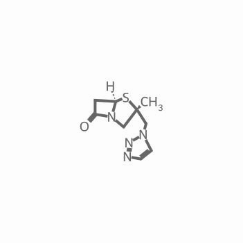 C[C@@]1(Cn2ccnn2)CN2C(=O)C[C@H]2S1